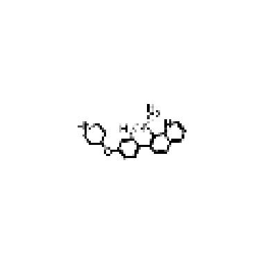 CN(C)c1c(-c2ccc(OC3CCNCC3)cc2)ccc2cccnc12